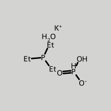 CCP(CC)CC.O.O=[PH]([O-])O.[K+]